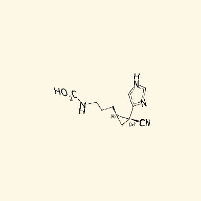 N#C[C@@]1(c2c[nH]cn2)C[C@H]1CCCNC(=O)O